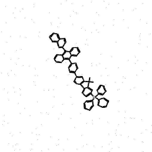 CC1(C)c2cc(-c3ccc(-c4c5ccccc5c(-c5ccc6ccccc6c5)c5ccccc45)cc3)ccc2-c2ccc([Si](c3ccccc3)(c3ccccc3)c3ccccc3)cc21